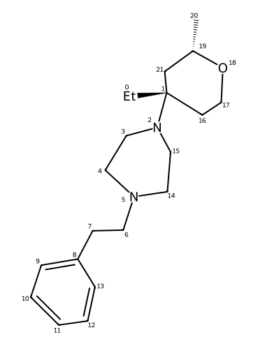 CC[C@]1(N2CCN(CCc3ccccc3)CC2)CCO[C@@H](C)C1